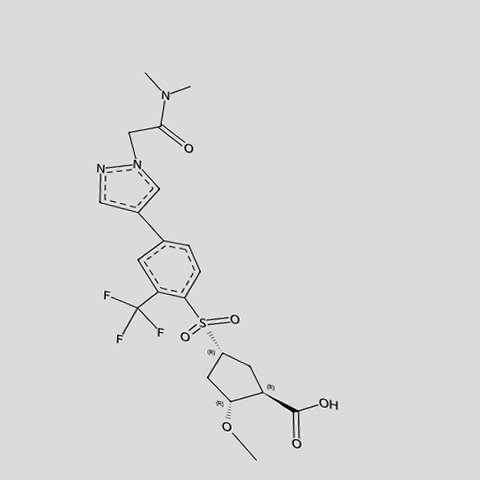 CO[C@@H]1C[C@H](S(=O)(=O)c2ccc(-c3cnn(CC(=O)N(C)C)c3)cc2C(F)(F)F)C[C@H]1C(=O)O